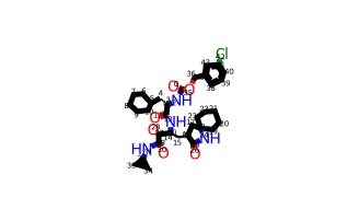 O=C(N[C@@H](CC1CCCCC1)C(=O)N[C@@H](C[C@H]1CC2(CCCCC2)NC1=O)C(=O)C(=O)NC1CC1)OCc1cccc(Cl)c1